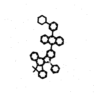 CC1(C)c2ccccc2-c2c1c1ccccc1c1c3cc(-c4c5ccccc5c(-c5cccc(C6CCCCC6)c5)c5ccccc45)ccc3n(-c3ccccc3)c21